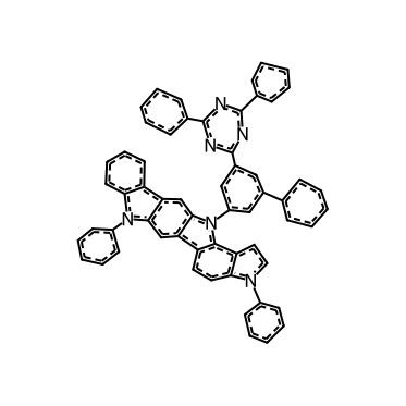 c1ccc(-c2cc(-c3nc(-c4ccccc4)nc(-c4ccccc4)n3)cc(-n3c4cc5c6ccccc6n(-c6ccccc6)c5cc4c4ccc5c(ccn5-c5ccccc5)c43)c2)cc1